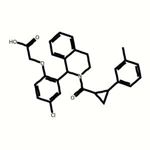 Cc1cccc(C2CC2C(=O)N2CCc3ccccc3C2c2cc(Cl)ccc2OCC(=O)O)c1